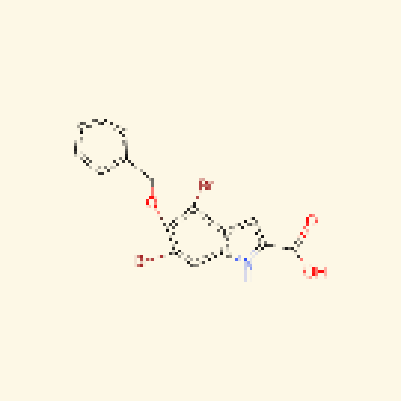 O=C(O)c1cc2c(Br)c(OCc3ccccc3)c(Br)cc2[nH]1